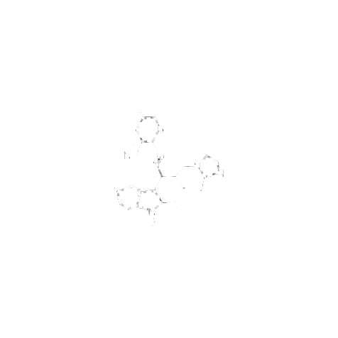 Cc1nccn1CC1CCc2c(c3ccccc3n2C)C1=NOc1ncccc1C#N